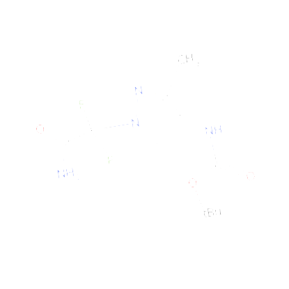 Cc1nn(C(F)(F)C(N)=O)cc1NC(=O)OC(C)(C)C